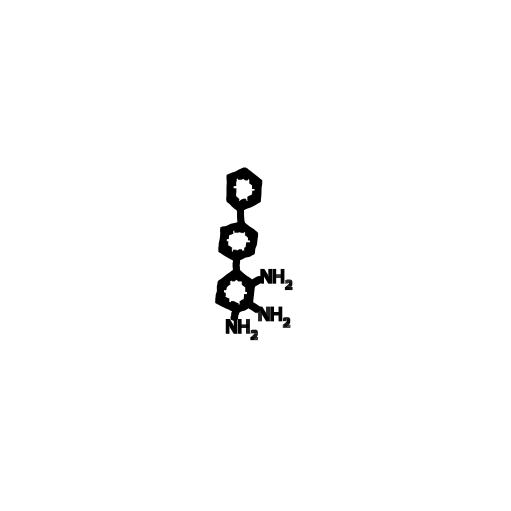 Nc1ccc(-c2ccc(-c3ccccc3)cc2)c(N)c1N